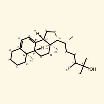 C[C@H](CCC(F)C(C)(C)O)[C@H]1CC[C@H]2C3=CC=C4CCCC[C@]4(C)[C@H]3CC[C@]12C